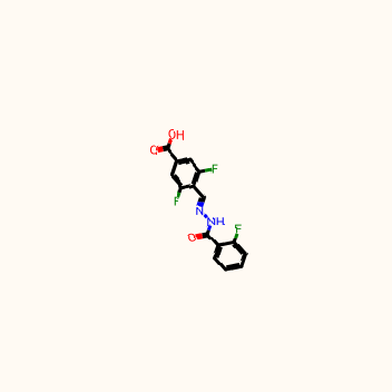 O=C(O)c1cc(F)c(C=NNC(=O)c2ccccc2F)c(F)c1